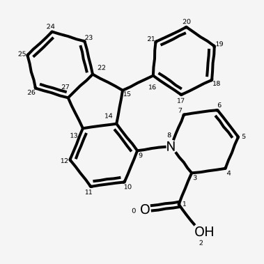 O=C(O)C1CC=CCN1c1cccc2c1C(c1ccccc1)c1ccccc1-2